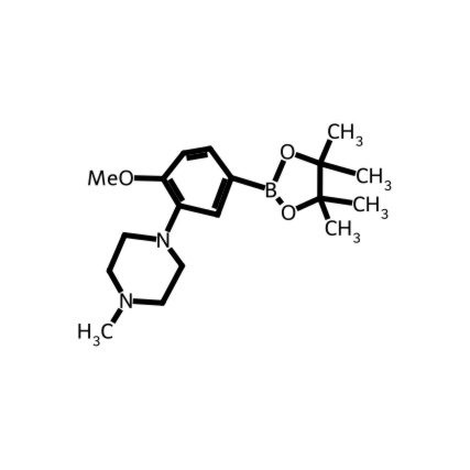 COc1ccc(B2OC(C)(C)C(C)(C)O2)cc1N1CCN(C)CC1